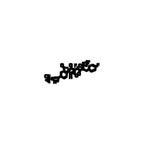 CN1CC(N(Cc2ccc(F)cc2)C(=O)CN2C(=O)N[C@]3(CC(=O)c4cc(-c5cnn(C6(C#N)CC6)c5)ccc43)C2=O)(C(F)(F)F)C1